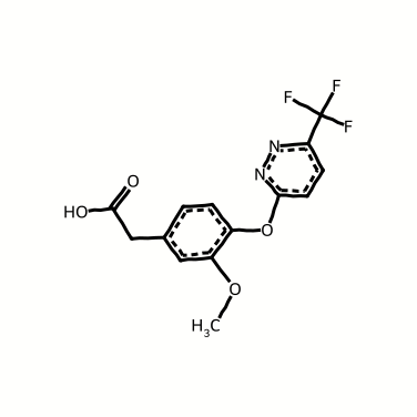 COc1cc(CC(=O)O)ccc1Oc1ccc(C(F)(F)F)nn1